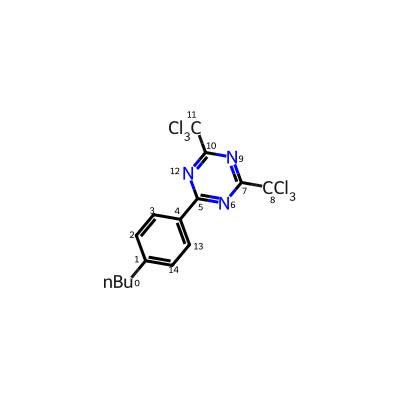 CCCCc1ccc(-c2nc(C(Cl)(Cl)Cl)nc(C(Cl)(Cl)Cl)n2)cc1